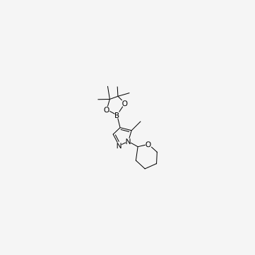 Cc1c(B2OC(C)(C)C(C)(C)O2)cnn1C1CCCCO1